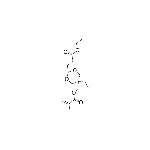 C=C(C)C(=O)OCC1(CC)COC(C)(CCC(=O)OCC)OC1